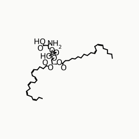 CC/C=C\C/C=C\C/C=C\C/C=C\C/C=C\CCCC(=O)O[C@H](COC(=O)CCCCCCCCC/C=C\C/C=C\CCCCC)COP(=O)(O)OC[C@H](N)C(=O)O